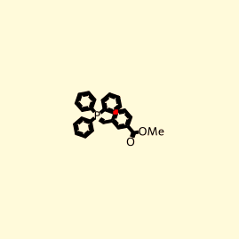 COC(=O)c1cccc(C=P(c2ccccc2)(c2ccccc2)c2ccccc2)c1